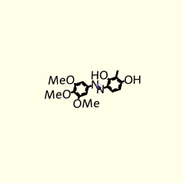 COc1cc(/N=N/c2ccc(O)c(C)c2O)cc(OC)c1OC